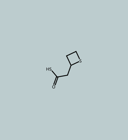 O=C(S)CC1CCS1